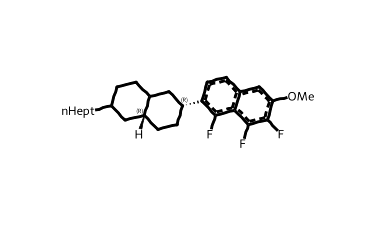 CCCCCCCC1CCC2C[C@H](c3ccc4cc(OC)c(F)c(F)c4c3F)CC[C@@H]2C1